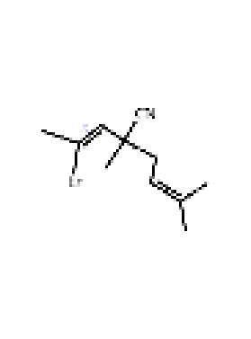 CC/C(C)=C\C(C)(C#N)CC=C(C)C